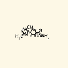 Cc1cnc(C)c(C2CCC(C(=O)NN)CC2)n1